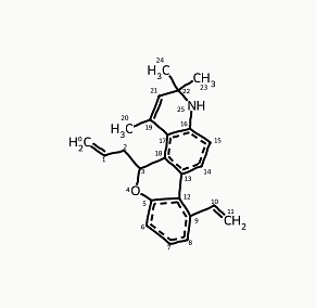 C=CCC1Oc2cccc(C=C)c2-c2ccc3c(c21)C(C)=CC(C)(C)N3